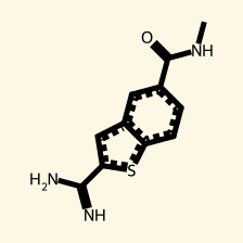 CNC(=O)c1ccc2sc(C(=N)N)cc2c1